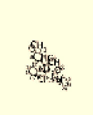 COc1ccc(-c2c(C)c3c(n2-c2ccccc2Cl)CCN(N2CCCCC2)C3=O)cc1.Cl